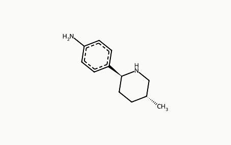 C[C@@H]1CC[C@@H](c2ccc(N)cc2)NC1